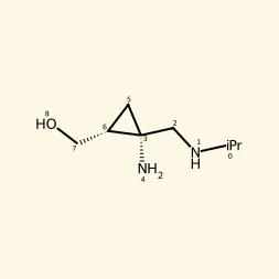 CC(C)NC[C@]1(N)C[C@H]1CO